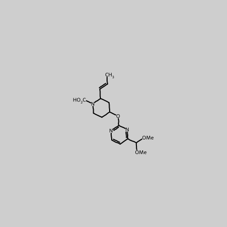 CC=CC1CC(Oc2nccc(C(OC)OC)n2)CCN1C(=O)O